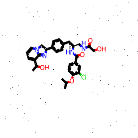 CC(C)Oc1ccc(C(=O)N[C@H](CNC(=O)CO)Cc2ccc(C3CN4C=CC=C(C(C)O)C4=N3)cc2)cc1Cl